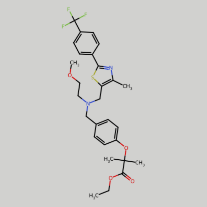 CCOC(=O)C(C)(C)Oc1ccc(CN(CCOC)Cc2sc(-c3ccc(C(F)(F)F)cc3)nc2C)cc1